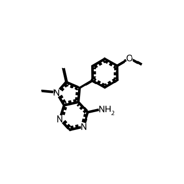 COc1ccc(-c2c(C)n(C)c3ncnc(N)c23)cc1